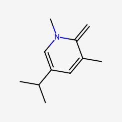 C=C1C(C)=CC(C(C)C)=CN1C